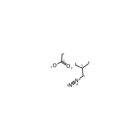 CC(=O)[O-].CC(C)C[N+]#N